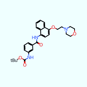 CC(C)(C)OC(=O)Nc1cccc(C(=O)Nc2ccc(OCCN3CCOCC3)c3ccccc23)c1